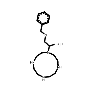 O=C(O)C(COCc1ccccc1)N1CCNCCNCCNCC1